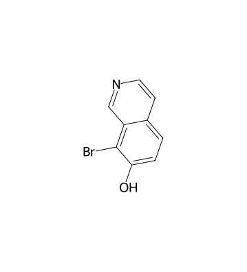 Oc1ccc2ccncc2c1Br